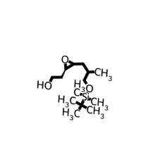 CC(CO[Si](C)(C)C(C)(C)C)CC1O[C@@H]1CCO